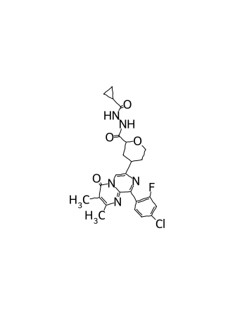 Cc1nc2c(-c3ccc(Cl)cc3F)nc(C3CCOC(C(=O)NNC(=O)C4CC4)C3)cn2c(=O)c1C